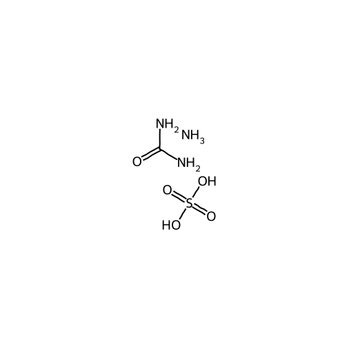 N.NC(N)=O.O=S(=O)(O)O